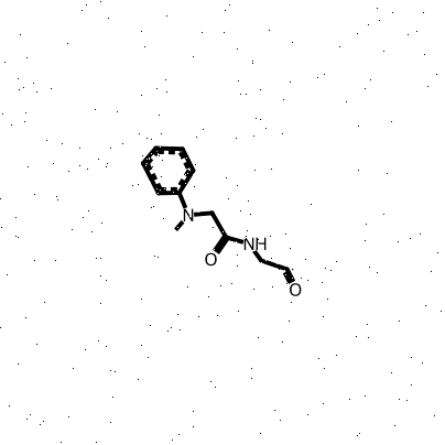 CN(CC(=O)NC[C]=O)c1ccccc1